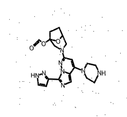 O=COC12CCC(CN(c3cc(N4CCNCC4)c4cnc(-c5cc[nH]n5)n4n3)C1)O2